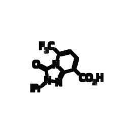 CC(C)n1nc2c(C(=O)O)ccc(C(F)(F)F)n2c1=O